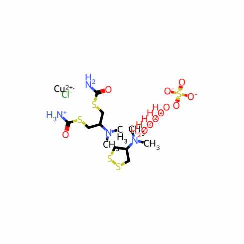 CN(C)C(CSC(N)=O)CSC([NH3+])=O.CN(C)C1CSSC1.O.O.O.O.O.O=S(=O)([O-])[O-].[Cl-].[Cu+2]